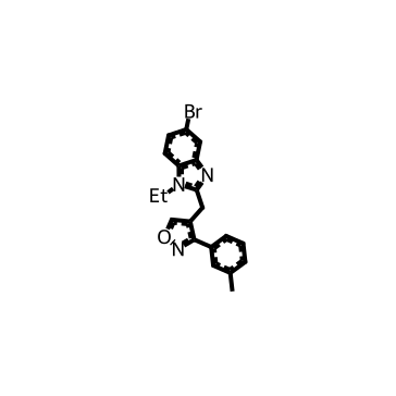 CCn1c(Cc2conc2-c2cccc(C)c2)nc2cc(Br)ccc21